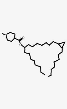 CCCCCCCCC(CCCCCCCC1CC1CCCCCCCC)OC(=O)C1CCN(C)CC1